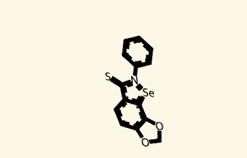 S=c1c2ccc3c(c2[se]n1-c1ccccc1)OCO3